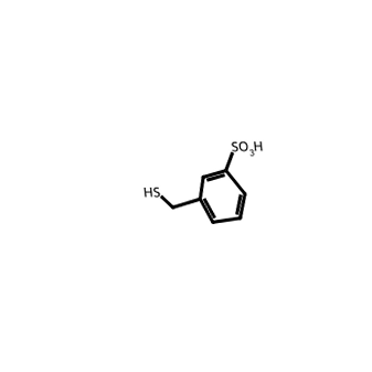 O=S(=O)(O)c1cccc(CS)c1